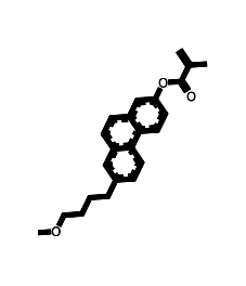 C=C(C)C(=O)Oc1ccc2c(ccc3cc(CCCCOC)ccc32)c1